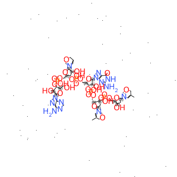 CC1=CN([C@H]2C[C@@H](O)[C@@H](COP(=O)(O)O[C@@H]3C[C@H](N4C=C(C)COC4)O[C@@H]3COP(=O)(O)OC3[C@@H](COP(=O)(O)OC4[C@@H](COP(=O)(O)OC5[C@@H](CO)O[C@@H](n6cnc7c(N)ncnc76)[C@H]5O)O[C@@H](N5C=CCOC5)[C@H]4O)O[C@@H](n4cnc5c(=O)[nH]c(N)nc54)[C@H]3O)O2)COC1